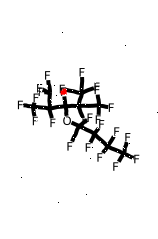 FC(F)(F)C(F)(F)C(F)(F)C(F)(F)OC(F)(C(F)(C(F)(F)F)C(F)(F)F)C(F)(C(F)(F)F)C(F)(F)F